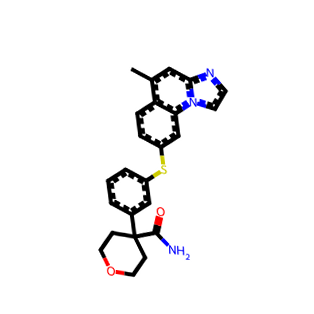 Cc1cc2nccn2c2cc(Sc3cccc(C4(C(N)=O)CCOCC4)c3)ccc12